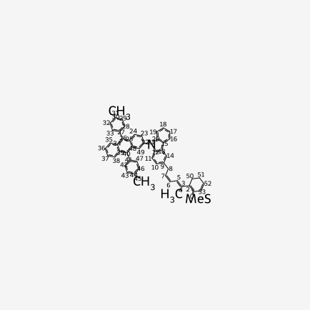 CSC1=C(/C(C)=C/C=C\Cc2ccc3c(c2)c2ccccc2n3-c2ccc3c(-c4ccc(C)cc4)c4ccccc4c(-c4ccc(C)cc4)c3c2)CCC=C1